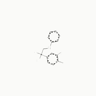 [CH2]CC(O)(CNc1ccccc1)c1ccc(F)c(F)c1